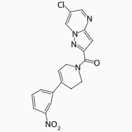 O=C(c1cc2ncc(Cl)cn2n1)N1CC=C(c2cccc([N+](=O)[O-])c2)CC1